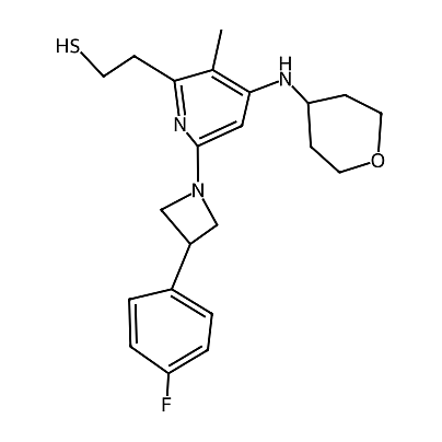 Cc1c(NC2CCOCC2)cc(N2CC(c3ccc(F)cc3)C2)nc1CCS